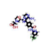 CC(C)(C(=O)O)N1CCO[C@@H](c2nc(-c3ccc(C(=O)Nc4cc(C(F)(F)F)ccn4)cc3)c3c(N)nccn23)C1